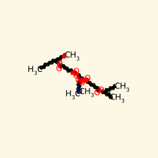 CCCCCCCCC(CCCCCC)COC(=O)CCCCCCC(=O)OCC(COC(=O)CCCCCCC(=O)OCC(CCCC)CCCCCC)OC(=O)CCCN(C)C